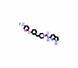 O=C(Nc1ccc2cc[nH]c2n1)N1CCC(=Cc2cccc(Oc3ccc(C(F)(F)F)cn3)c2)CC1